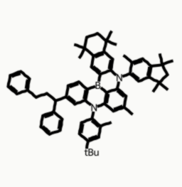 Cc1cc2c3c(c1)N(c1cc4c(cc1C)C(C)(C)CC4(C)C)c1cc4c(cc1B3c1ccc(C(CCc3ccccc3)c3ccccc3)cc1N2c1ccc(C(C)(C)C)cc1C)C(C)(C)CCC4(C)C